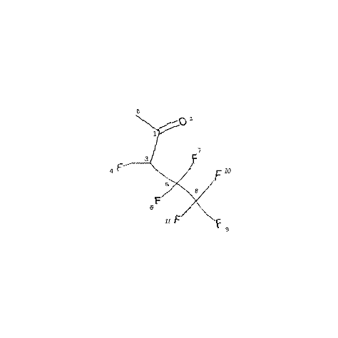 CC(=O)C(F)C(F)(F)C(F)(F)F